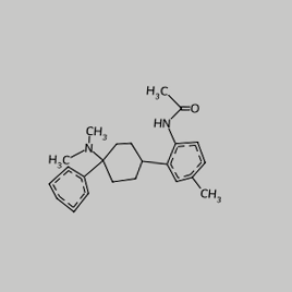 CC(=O)Nc1ccc(C)cc1C1CCC(c2ccccc2)(N(C)C)CC1